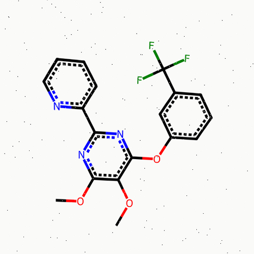 COc1nc(-c2ccccn2)nc(Oc2cccc(C(F)(F)F)c2)c1OC